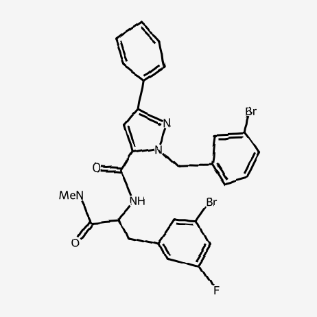 CNC(=O)C(Cc1cc(F)cc(Br)c1)NC(=O)c1cc(-c2ccccc2)nn1Cc1cccc(Br)c1